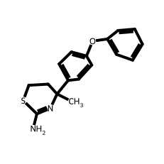 CC1(c2ccc(Oc3ccccc3)cc2)CCSC(N)=N1